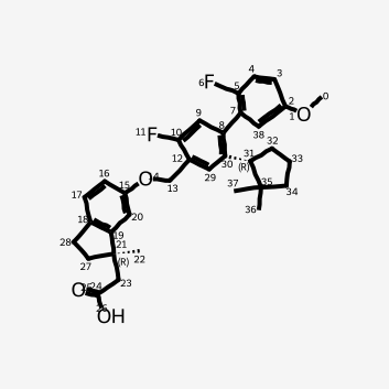 COc1ccc(F)c(-c2cc(F)c(COc3ccc4c(c3)[C@@](C)(CC(=O)O)CC4)cc2[C@@H]2CCCC2(C)C)c1